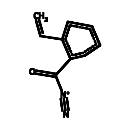 C=Cc1ccccc1C(=O)[N+]#N